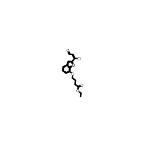 CCOC(=O)CCCOc1cccc2cc(/C(Cl)=C\C=O)oc12